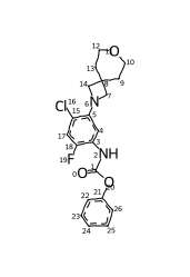 O=C(Nc1cc(N2CC3(CCOCC3)C2)c(Cl)cc1F)Oc1ccccc1